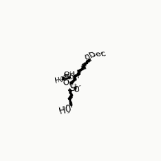 CCCCCCCCCCCCCCCCCC[S+]([O-])CCCCO.O=P(O)(O)O